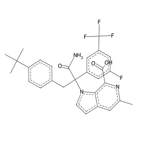 Cc1cc2ccn(C(Cc3ccc(C(C)(C)C)cc3)(C(N)=O)c3cc(F)cc(C(F)(F)F)c3)c2c(C(=O)O)n1